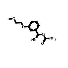 COCCOc1cccc(C(=N)OC(N)=O)c1